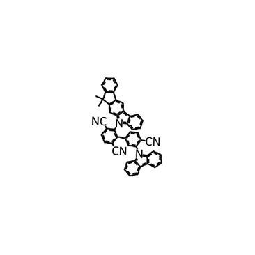 CC1(C)c2ccccc2-c2cc3c4ccccc4n(-c4c(C#N)ccc(C#N)c4-c4ccc(C#N)c(-n5c6ccccc6c6ccccc65)c4)c3cc21